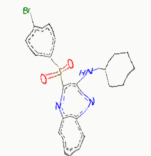 O=S(=O)(c1ccc(Br)cc1)c1nc2ccccc2nc1NC1CCCCC1